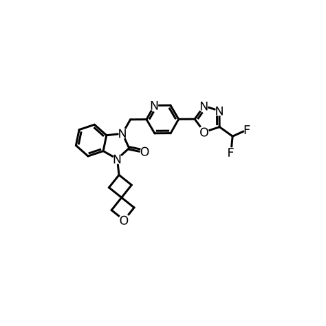 O=c1n(Cc2ccc(-c3nnc(C(F)F)o3)cn2)c2ccccc2n1C1CC2(COC2)C1